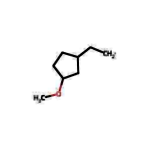 [CH2]CC1CCC(OC)C1